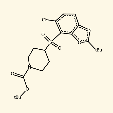 CC(C)(C)OC(=O)N1CCC(S(=O)(=O)c2c(Cl)ccc3nc(C(C)(C)C)oc23)CC1